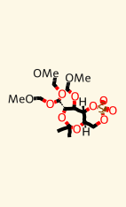 COCOC(OCOC)[C@H]1OC(C)(C)O[C@@H]2COS(=O)(=O)O[C@H]2C1OCOC